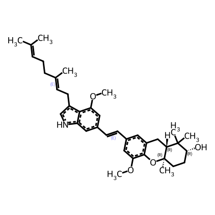 COc1cc(/C=C/c2cc(OC)c3c(C/C=C(\C)CCC=C(C)C)c[nH]c3c2)cc2c1O[C@]1(C)CC[C@@H](O)C(C)(C)[C@H]1C2